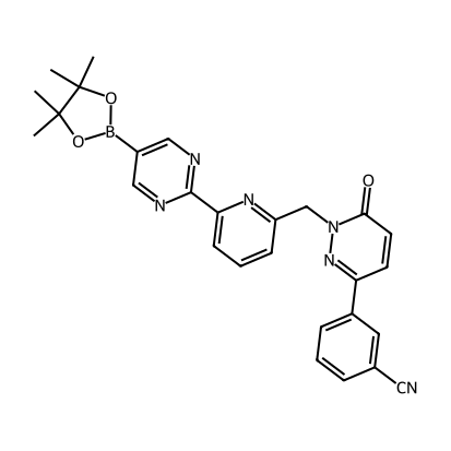 CC1(C)OB(c2cnc(-c3cccc(Cn4nc(-c5cccc(C#N)c5)ccc4=O)n3)nc2)OC1(C)C